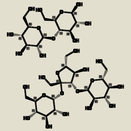 OC[C@H]1O[C@@H](O[C@H]2[C@H](O)[C@@H](O)[C@H](O)O[C@@H]2CO)[C@H](O)[C@@H](O)[C@@H]1O.OC[C@H]1O[C@@](CO)(O[C@H]2O[C@H](CO)[C@@H](O)[C@H](O)[C@H]2O)[C@@H](O[C@H]2O[C@H](CO)[C@@H](O)[C@H](O)[C@H]2O)[C@@H]1O